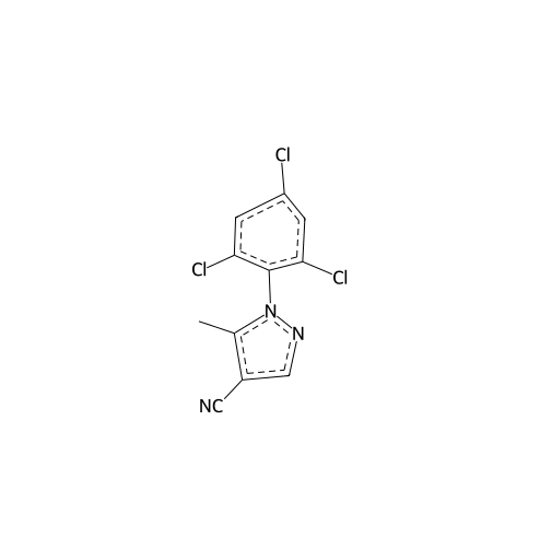 Cc1c(C#N)cnn1-c1c(Cl)cc(Cl)cc1Cl